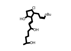 CCCC/C=C\CC1C(Cl)CC(O)C1/C=C/C(O)CCCC(C)O